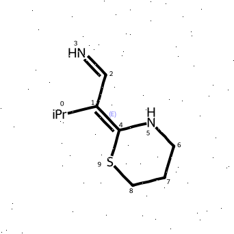 CC(C)/C(C=N)=C1/NCCCS1